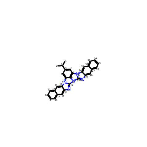 CC(C)c1cc2c3c(c1)n1c4cc5ccccc5cc4nc1n3c1nc3cc4ccccc4cc3n21